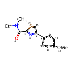 CCN(C)C(=O)c1nc(-c2ccc(OC)cc2)cs1